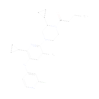 COCCC(=O)N1CCN(c2nc(C3CC3)c(Nc3ccnc(Cl)c3)cc2C#N)CC1C1CC1